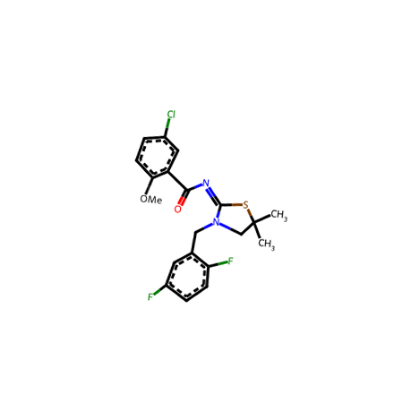 COc1ccc(Cl)cc1C(=O)N=C1SC(C)(C)CN1Cc1cc(F)ccc1F